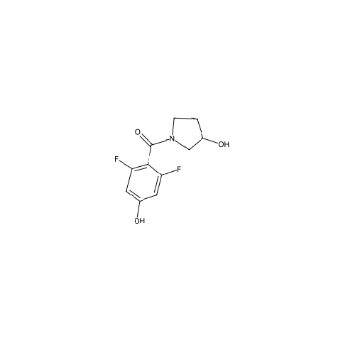 O=C(c1c(F)cc(O)cc1F)N1CCC(O)C1